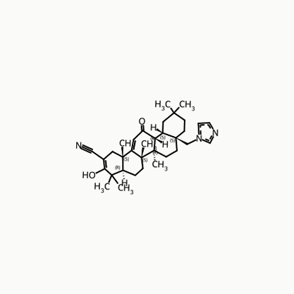 CC1(C)CC[C@]2(Cn3ccnc3)CC[C@]3(C)[C@H](C(=O)C=C4[C@@]5(C)CC(C#N)=C(O)C(C)(C)[C@@H]5CC[C@]43C)[C@@H]2C1